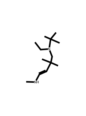 CCN(CC(C)(C)/C=C/NC)C(C)(C)C